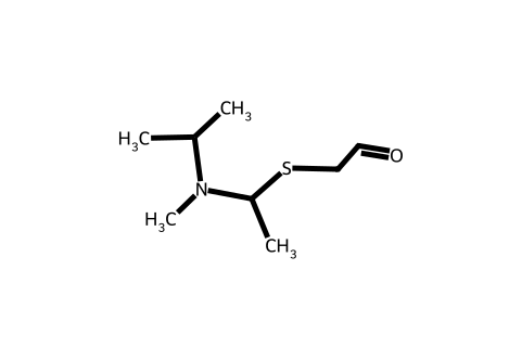 CC(C)N(C)C(C)SCC=O